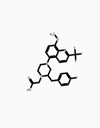 COc1ccc(N2CCN(CC(=O)O)C(Cc3ccc(F)cc3)C2)c2ccc(C(F)(F)F)nc12